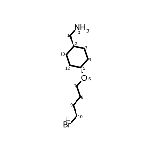 NC[C@H]1CC[C@H](OCCCCBr)CC1